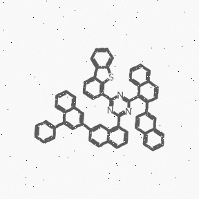 c1ccc(-c2cc(-c3ccc4cccc(-c5nc(-c6c(-c7ccc8ccccc8c7)ccc7ccccc67)nc(-c6cccc7c6sc6ccccc67)n5)c4c3)cc3ccccc23)cc1